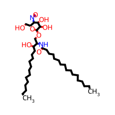 CCCCCCCCCCCCCCCCC(=O)NC(COC1OC(CO)C(N=O)C(O)C1O)C(O)CCCCCCCCCCCCC